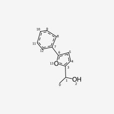 CC(O)c1ccc(-c2ccccc2)o1